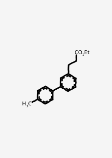 CCOC(=O)CCc1cccc(-c2ccc(C)cc2)c1